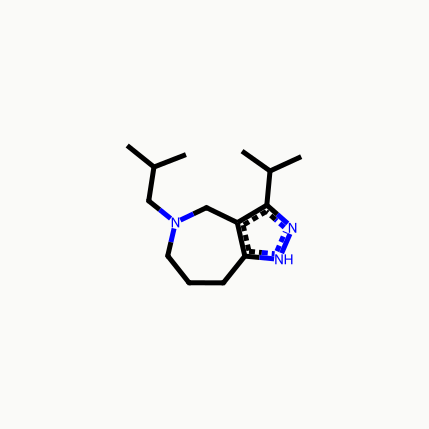 CC(C)CN1CCCc2[nH]nc(C(C)C)c2C1